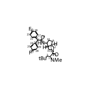 CN[C@@H](CC(C)(C)C)C(=O)N1C[C@H]2CC[C@H](NC(=O)C(c3ccc(F)cc3)c3ccc(F)cc3)[C@H]2C1